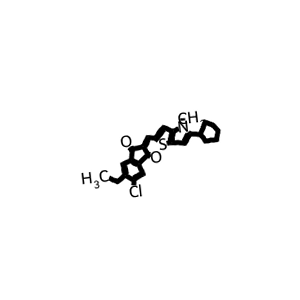 CCc1cc2c(cc1Cl)C(=O)/C(=C\c1cc3c(cc(C4CCCCC4)n3C)s1)C2=O